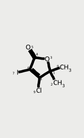 CC1(C)OC(=O)C(I)=C1Cl